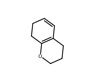 C1=CC2=C(CC1)OCCC2